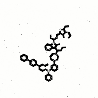 C=C/C=C(\C=C/CN(c1ccccc1)c1cccc(C2=CC=CC(/C(=C/CC)c3c(C)n(/C(=C/C=C4/SC(C=C)=C(/C=C\C)C4C)CC)c4ccccc34)CC2)c1)c1ccc(-c2ccccc2)cc1